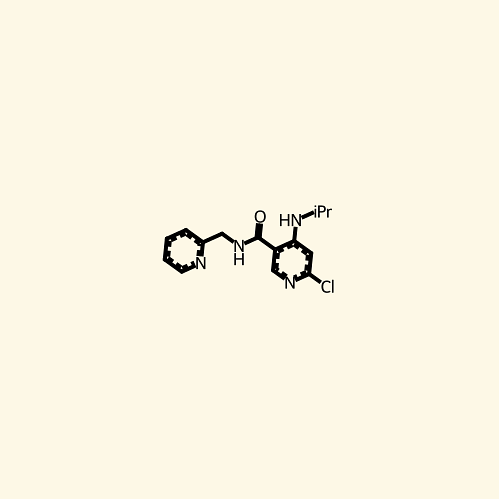 CC(C)Nc1cc(Cl)ncc1C(=O)NCc1ccccn1